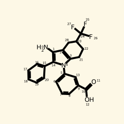 Nc1c2c(n(-c3cccc(C(=O)O)c3)c1-c1ccccc1)CCC(C(F)(F)F)C2